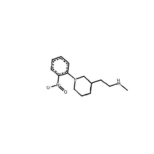 CNCCC1CCCN(c2ccccc2[N+](=O)[O-])C1